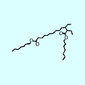 CCCCCCCOC(=O)CCCCCCCCCC(CC)C(CC)C(=O)OCCCCCCC